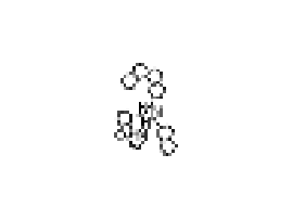 c1ccc2cc(-c3nc(-c4ccc5ccc6ccc7ccccc7c6c5c4)nc(-c4cccc5oc6cccnc6c45)n3)ccc2c1